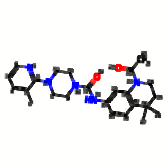 Cc1cccnc1N1CCN(C(=O)Nc2ccc3c(c2)N(C(=O)C(F)(F)F)CCC3(C)C)CC1